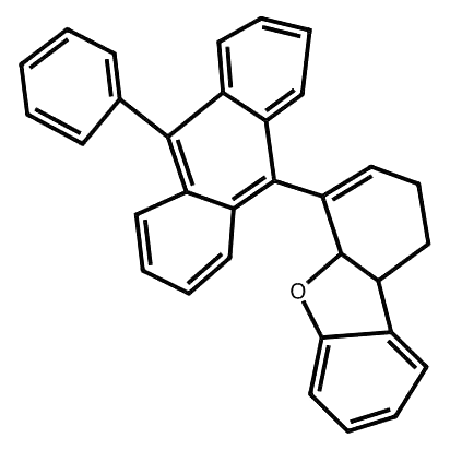 C1=C(c2c3ccccc3c(-c3ccccc3)c3ccccc23)C2Oc3ccccc3C2CC1